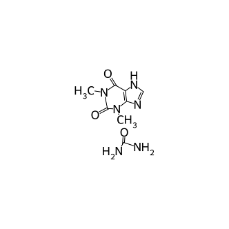 Cn1c(=O)c2[nH]cnc2n(C)c1=O.NC(N)=O